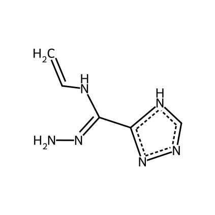 C=CN/C(=N\N)c1nnc[nH]1